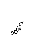 CCOCCN(Cc1cccc(OC)c1)C(C)(C)C